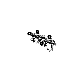 NCCCC[C@H](NC(=O)[C@H](Cc1ccccc1)NC(=O)[C@H](CCC(=O)O)NC(=O)[C@H](Cc1ccccc1)NC(=O)[C@H](CCCCN)NC(=O)[C@H](Cc1ccccc1)NC(=O)[C@H](CCC(=O)O)NC(=O)[C@@H](N)Cc1ccccc1)C(=O)O